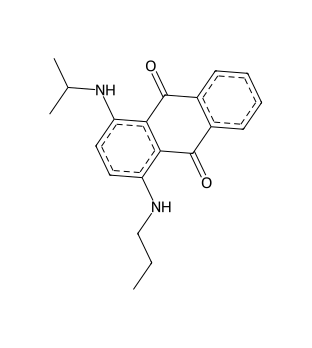 CCCNc1ccc(NC(C)C)c2c1C(=O)c1ccccc1C2=O